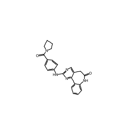 O=C1Cc2cnc(Nc3ccc(C(=O)N4CCCC4)cc3)nc2-c2ccccc2N1